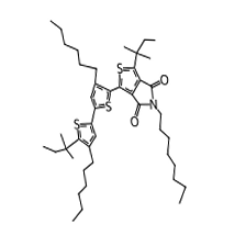 CCCCCCCCN1C(=O)c2c(-c3sc(-c4cc(CCCCCC)c(C(C)(C)CC)s4)cc3CCCCCC)sc(C(C)(C)CC)c2C1=O